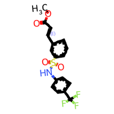 COC(=O)/C=C/c1cccc(S(=O)(=O)Nc2ccc(C(F)(F)F)cc2)c1